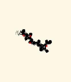 CC1(C)c2ccccc2-c2c1ccc1c2Oc2cccc(-c3ccccc3-c3cc(-c4ccc(-c5cccc(CC6(C)c7ccccc7-c7c6ccc6c7Oc7cccc(-c8ccccc8-c8nc(-c9ccccc9)cc(-c9ccc(-c%10cccc%11c%10oc%10ccccc%10%11)cc9)n8)c7O6)c5)c5ccccc45)nc(-c4ccccc4)n3)c2O1